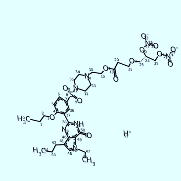 CCCOc1ccc(S(=O)(=O)N2CCN(CCOC(=O)CCOC[C@@H](CO[N+](=O)[O-])O[N+](=O)[O-])CC2)cc1-c1nc2c(CCC)cn(CC)c2c(=O)[nH]1.[H+]